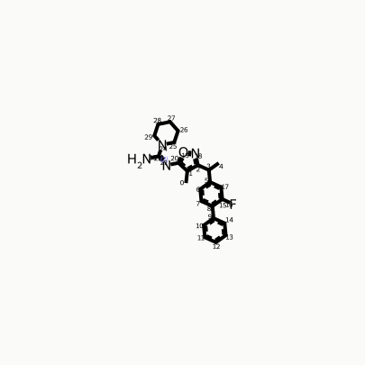 Cc1c(C(C)c2ccc(-c3ccccc3)c(F)c2)noc1/N=C(/N)N1CCCCC1